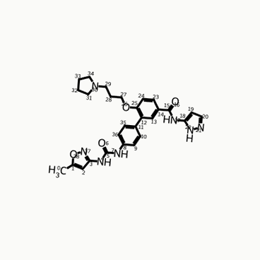 Cc1cc(NC(=O)Nc2ccc(-c3cc(C(=O)Nc4ccn[nH]4)ccc3OCCCN3CCCC3)cc2)no1